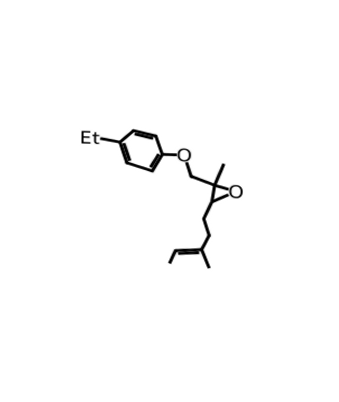 CC=C(C)CCC1OC1(C)COc1ccc(CC)cc1